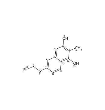 Cc1c(O)cc2cc(SCC(C)C)ccc2c1O